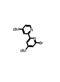 CC(C)(C)c1ccnc(-c2cc(C(C)(C)C)cc(Br)n2)c1